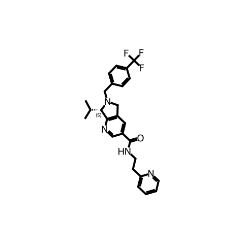 CC(C)[C@H]1c2ncc(C(=O)NCCc3ccccn3)cc2CN1Cc1ccc(C(F)(F)F)cc1